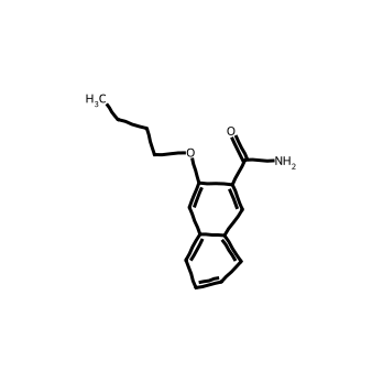 CCCCOc1cc2ccccc2cc1C(N)=O